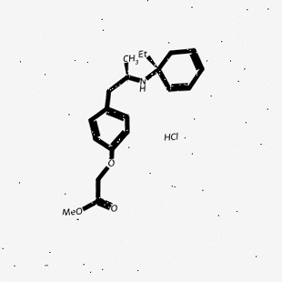 CC[C@]1(N[C@H](C)Cc2ccc(OCC(=O)OC)cc2)C=CC=CC1.Cl